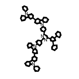 c1ccc(-c2cc(-c3ccccc3)cc(-c3cc(-c4ccc(-n5c6ccccc6c6cc(-c7ccc8c(c7)c7ccccc7n8-c7ccccc7)ccc65)cc4)nc(-c4ccc(-n5c6ccccc6c6cc(-c7ccc8c(c7)c7ccccc7n8-c7ccccc7)ccc65)cc4)n3)c2)cc1